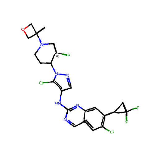 CC1(N2CCC(n3ncc(Nc4ncc5cc(Cl)c(C6CC6(F)F)cc5n4)c3Cl)[C@H](F)C2)COC1